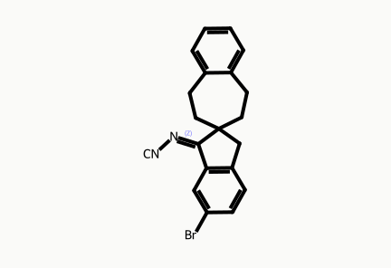 [C-]#[N+]/N=C1\c2cc(Br)ccc2CC12CCc1ccccc1CC2